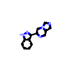 [c]1nc(-c2n[nH]c3ccccc23)cn2cncc12